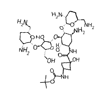 CC(C)(C)OC(=O)NC1CC(O)(C(=O)N[C@@H]2C[C@H](N)[C@@H](O[C@H]3O[C@H](CN)CC[C@H]3N)[C@H](O[C@@H]3O[C@H](CO)[C@@H](O[C@H]4O[C@@H](CN)CC[C@H]4N)[C@H]3O)[C@H]2O)C1